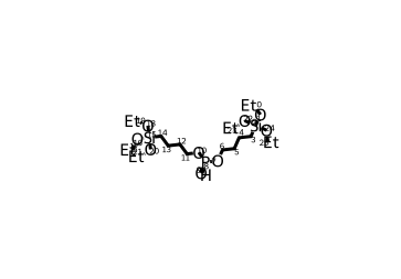 CCO[Si](CCCCO[PH](=O)OCCCC[Si](OCC)(OCC)OCC)(OCC)OCC